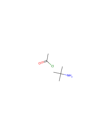 CC(=O)Cl.CC(C)(C)N